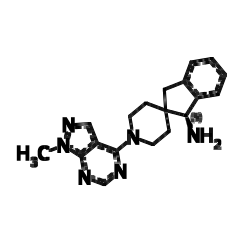 Cn1ncc2c(N3CCC4(CC3)Cc3ccccc3[C@H]4N)ncnc21